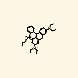 CCCOC(=O)c1ccccc1C1=C2C=CC(=[N+](CC)CC)C=C2Cc2cc(N(CC)CC)ccc21